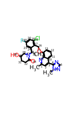 Cc1cc(-c2ncnn2C)c2cccc(OCc3c(Cl)cc(F)cc3[C@H](C)N3C[C@H](O)CCC3=O)c2n1